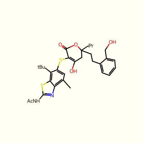 CC(=O)Nc1nc2c(C)cc(SC3=C(O)CC(CCc4ccccc4CO)(C(C)C)OC3=O)c(C(C)(C)C)c2s1